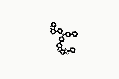 c1ccc(-c2ccc(N(c3ccc(-c4ccc5oc6ccc7oc(-c8ccccc8)nc7c6c5c4)cc3)c3cccc(-c4cccc5oc6ccccc6c45)c3)cc2)cc1